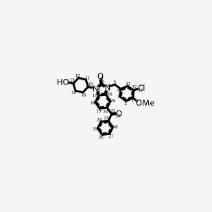 COc1ccc(Cn2c(=O)n(C3CCC(O)CC3)c3ccc(C(=O)c4ccccc4)cc32)cc1Cl